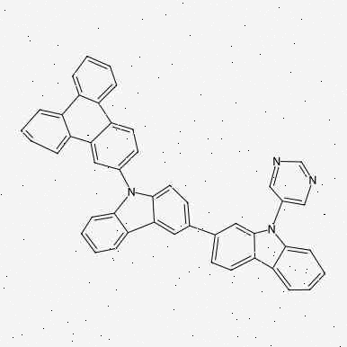 c1ccc2c(c1)c1ccccc1c1cc(-n3c4ccccc4c4cc(-c5ccc6c7ccccc7n(-c7cncnc7)c6c5)ccc43)ccc21